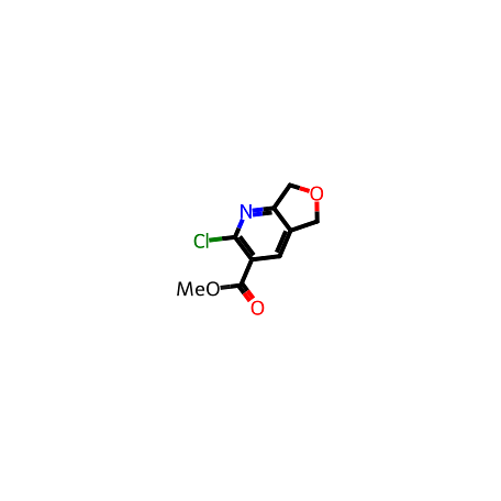 COC(=O)c1cc2c(nc1Cl)COC2